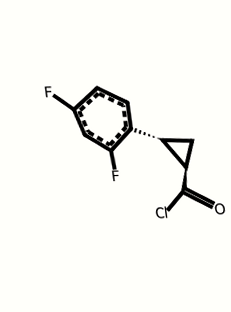 O=C(Cl)[C@@H]1C[C@H]1c1ccc(F)cc1F